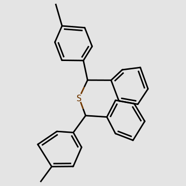 Cc1ccc(C(SC(c2ccccc2)c2ccc(C)cc2)c2ccccc2)cc1